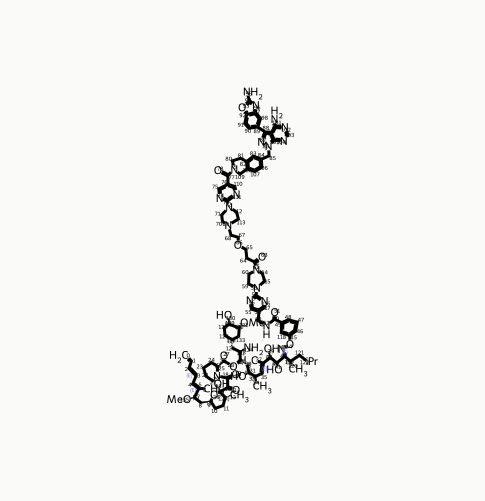 C=C/C=C/C=C(\C)[C@H](C[C@@H]1CC[C@@H](C)[C@](O)(C(=O)C(=O)N2CCCC[C@H]2C(=O)O[C@@H](C[C@@H](O)[C@H](C)/C=C(\C)[C@@H](O)[C@@H](O)/C(=N/Oc2cccc(C(=O)NCc3cnc(N4CCN(C(=O)CCOCCN5CCN(c6ncc(C(=O)N7CCc8cc(Cn9nc(-c%10ccc%11oc(N)nc%11c%10)c%10c(N)ncnc%109)ccc8C7)cn6)CC5)CC4)nc3)c2)[C@H](C)CC(C)C)[C@H](N)C[C@@H]2CC[C@@H](O)[C@H](OC)C2)O1)OC